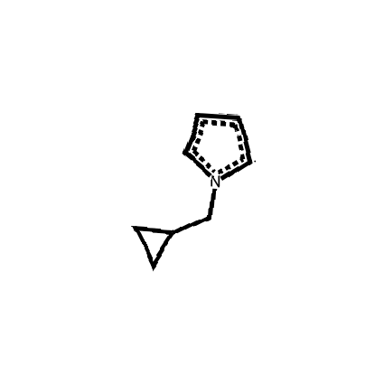 [c]1cccn1CC1CC1